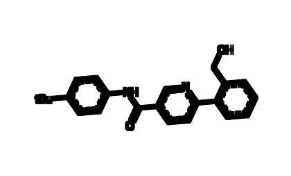 CC(C)(C)c1ccc(NC(=O)c2ccc(-c3ccccc3CO)nc2)cc1